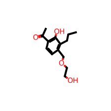 CCCc1c(COCCO)ccc(C(C)=O)c1O